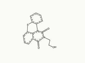 O=c1c2cccc3c2n(c(=O)n1CCO)-c1ccccc1S3